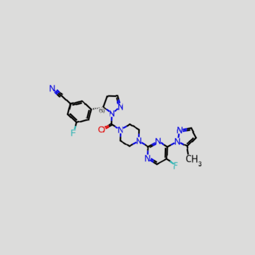 Cc1ccnn1-c1nc(N2CCN(C(=O)N3N=CC[C@H]3c3cc(F)cc(C#N)c3)CC2)ncc1F